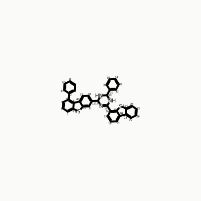 c1ccc(-c2cccc3sc4cc(C5N=C(c6cccc7c6sc6ccccc67)NC(c6ccccc6)N5)ccc4c23)cc1